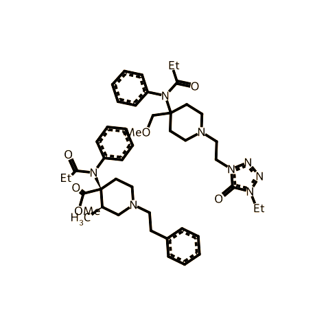 CCC(=O)N(c1ccccc1)C1(COC)CCN(CCn2nnn(CC)c2=O)CC1.CCC(=O)N(c1ccccc1)[C@@]1(C(=O)OC)CCN(CCc2ccccc2)C[C@H]1C